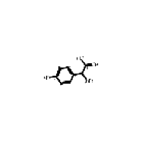 CCCC(C(=O)Cl)c1ccc(F)cc1